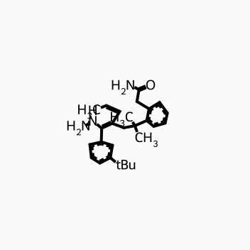 C/C=C\C(CC(C)(C)c1ccccc1CC(N)=O)=C(/NN)c1cccc(C(C)(C)C)c1